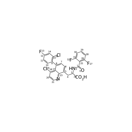 O=C(NC(Cc1ccc(-c2ccc(F)cc2Cl)c2c(Cl)ccnc12)C(=O)O)c1c(F)cccc1F